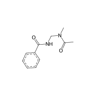 CC(=O)N(C)CNC(=O)c1ccccc1